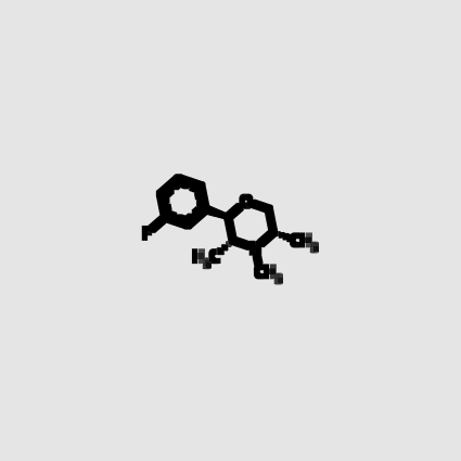 C[C@@H]1[C@@H](c2cccc(F)c2)OC[C@H](C)N1C